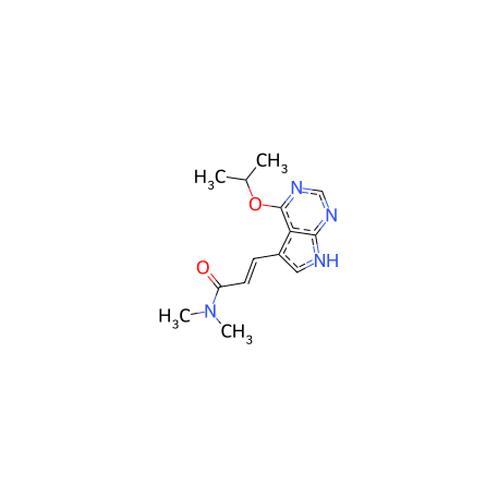 CC(C)Oc1ncnc2[nH]cc(C=CC(=O)N(C)C)c12